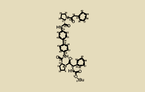 CC(C)(C)OC(=O)N[C@@H](C(=O)N1CCC[C@H]1C(=O)Nc1ccc(-c2ccc(NC(=O)[C@@H]3CCCN3C(=O)Cc3ccccc3)cc2)cc1)c1ccccc1